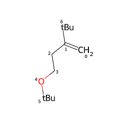 C=C(CCOC(C)(C)C)C(C)(C)C